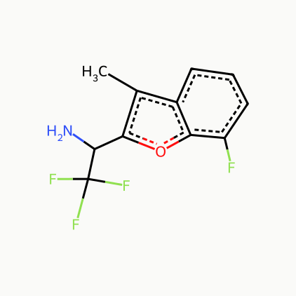 Cc1c(C(N)C(F)(F)F)oc2c(F)cccc12